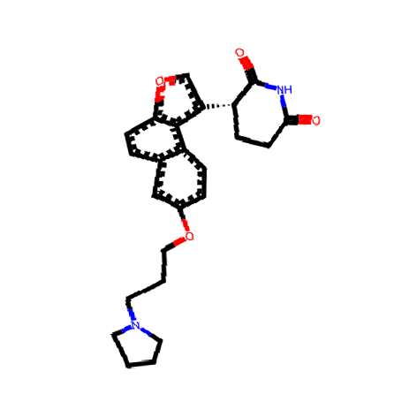 O=C1CC[C@H](c2coc3ccc4cc(OCCCN5CCCC5)ccc4c23)C(=O)N1